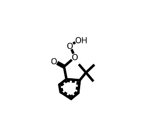 CC(C)(C)c1ccccc1C(=O)OOO